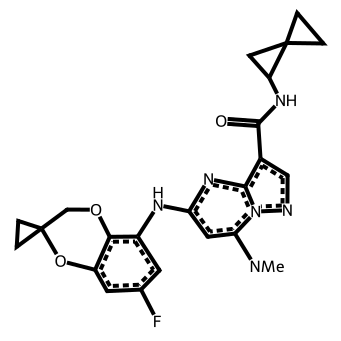 CNc1cc(Nc2cc(F)cc3c2OCC2(CC2)O3)nc2c(C(=O)NC3CC34CC4)cnn12